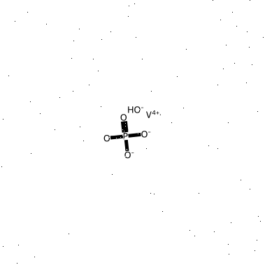 O=P([O-])([O-])[O-].[OH-].[V+4]